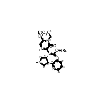 CCOC(=O)Cn1c(Cl)cnc(N(C(=O)OC(C)(C)C)[C@H]2CNC[C@@H]2c2ccccn2)c1=O